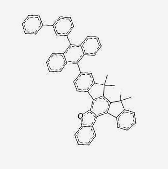 CC1(C)c2cc(-c3c4ccccc4c(-c4cccc(-c5ccccc5)c4)c4ccccc34)ccc2-c2c1c1c(c3c2oc2ccccc23)-c2ccccc2C1(C)C